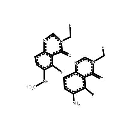 Nc1ccc2ncn(CF)c(=O)c2c1F.O=C(O)Nc1ccc2ncn(CF)c(=O)c2c1F